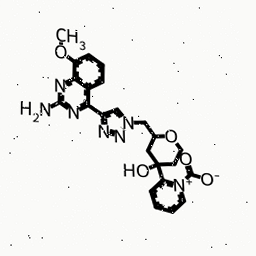 COc1cccc2c(-c3cn(CC4CC(O)(c5cccc[n+]5C(=O)[O-])CCO4)nn3)nc(N)nc12